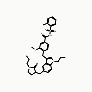 CCCN1CCC(Cc2ccc3c(c2)c(Cc2ccc(C(=O)NS(=O)(=O)c4ccccc4C)cc2OC)cn3CCC)C1=O